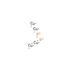 [Cu+].[Cu+].[Cu+].[Cu+].[S-2].[S-2]